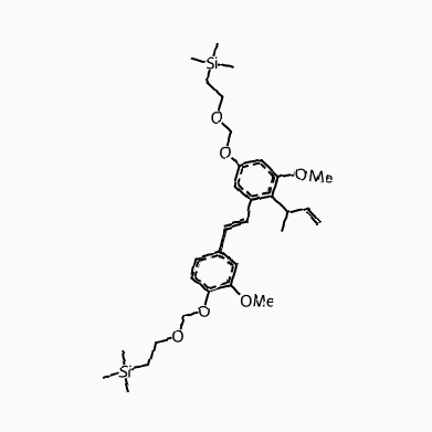 C=CC(C)c1c(C=Cc2ccc(OCOCC[Si](C)(C)C)c(OC)c2)cc(OCOCC[Si](C)(C)C)cc1OC